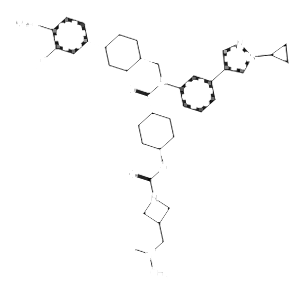 COc1ccc([C@H]2CC[C@H](CN(c3cccc(-c4cnn(C5CC5)c4)c3)C(=O)[C@H]3CC[C@H](OC(=O)N4CC(C[S+](C)[O-])C4)CC3)CC2)cc1C